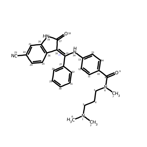 CN(C)CCCN(C)C(=O)c1ccc(N/C(=C2\C(=O)Nc3cc(C#N)ccc32)c2ccccc2)cc1